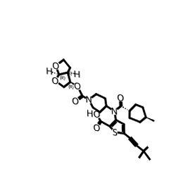 CC(C)(C)C#Cc1cc(N(C(=O)[C@H]2CC[C@H](C)CC2)C2CCN(C(=O)O[C@H]3CO[C@H]4OCC[C@H]43)CC2)c(C(=O)O)s1